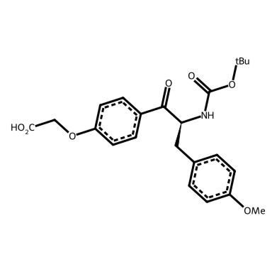 COc1ccc(C[C@H](NC(=O)OC(C)(C)C)C(=O)c2ccc(OCC(=O)O)cc2)cc1